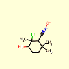 CC1(C)CCC(O)C(C)(Cl)C1C#[N+][O-]